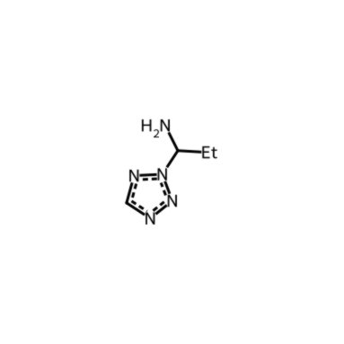 CCC(N)n1ncnn1